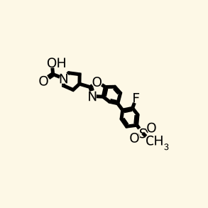 CS(=O)(=O)c1ccc(-c2ccc3oc(C4CCN(C(=O)O)CC4)nc3c2)c(F)c1